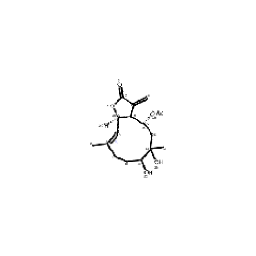 C=C1C(=O)O[C@@H]2/C=C(\C)CCC(O)C(C)(O)C[C@@H](OC(C)=O)C12